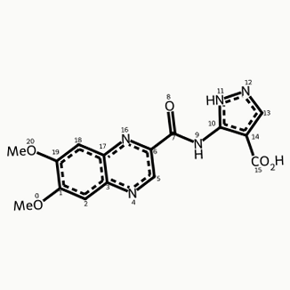 COc1cc2ncc(C(=O)Nc3[nH]ncc3C(=O)O)nc2cc1OC